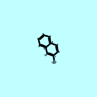 [B]c1ccc2ccccc2c1